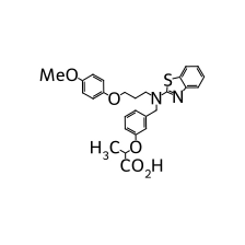 COc1ccc(OCCCN(Cc2cccc(OC(C)C(=O)O)c2)c2nc3ccccc3s2)cc1